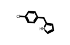 Clc1ccc(Cc2ccc[nH]2)cc1